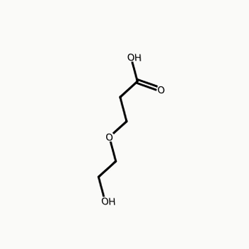 O=C(O)CCOCCO